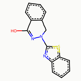 OC1=NN(c2nc3ccccc3s2)Cc2ccccc21